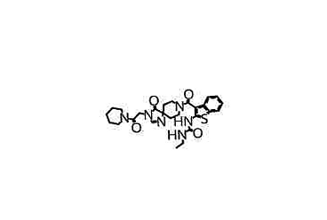 CCNC(=O)Nc1sc2ccccc2c1C(=O)N1CCC2(CC1)N=CN(CC(=O)N1CCCCC1)C2=O